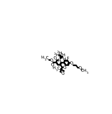 [2H]C1([2H])C(n2c3c(cc(C(=O)OCC)c2=O)C(C2(C)COC2)Oc2cc(OCCCOC)c(F)cc2-3)C1([2H])[2H]